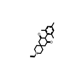 C=CN1CCC2(CC1)CC(=O)C(c1c(C)cc(C)cc1C)C(=O)C2